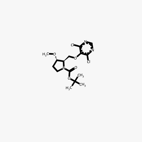 CO[C@H]1CCN(C(=O)OC(C)(C)C)[C@@H]1COc1c(Cl)ncnc1Cl